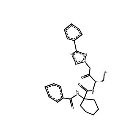 CC(C)C[C@H](NC(=O)C1(NC(=O)c2ccccc2)CCCCC1)C(=O)Cn1nnc(-c2ccccc2)n1